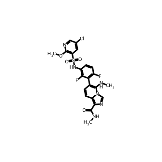 CNC(=O)c1ncn2c(NC)c(-c3c(F)ccc(NS(=O)(=O)c4cc(Cl)cnc4OC)c3F)ccc12